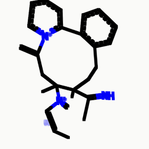 C=C1CC(C)([N+](=C)/C=C\C)C(C)(C(C)=N)CCc2ccccc2-c2cccc[n+]21